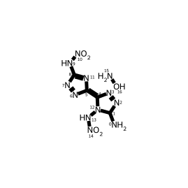 NC1N=NC(=C2N=NC(N[N+](=O)[O-])=N2)N1N[N+](=O)[O-].NO